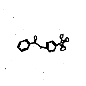 O=C([CH]c1ccc(S(=O)(=O)Cl)cc1)c1ccccc1